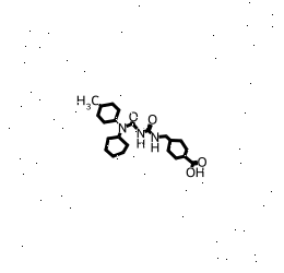 C[C@H]1CC[C@H](N(C(=O)NC(=O)NCC2CCC(C(=O)O)CC2)C2CCCCC2)CC1